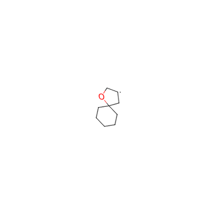 [CH]1COC2(C1)CCCCC2